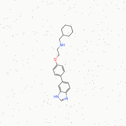 c1nc2ccc(-c3ccc(OCCNCC4CCCCC4)cc3)cc2[nH]1